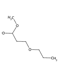 CCCOCCC([O])OC